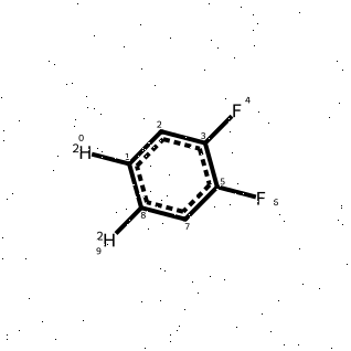 [2H]c1cc(F)c(F)cc1[2H]